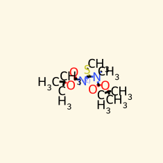 CS/C(=N\C(=O)OC(C)(C)C)N(C)C(=O)OC(C)(C)C